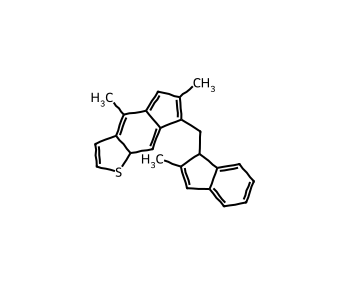 CC1=Cc2ccccc2C1CC1=C(C)C=C2C1=CC1SC=CC1=C2C